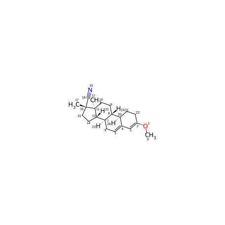 COC1=CC2=CC[C@@H]3[C@H](CC[C@@]4(C)[C@H]3CC[C@]4(C)C#N)[C@H]2CC1